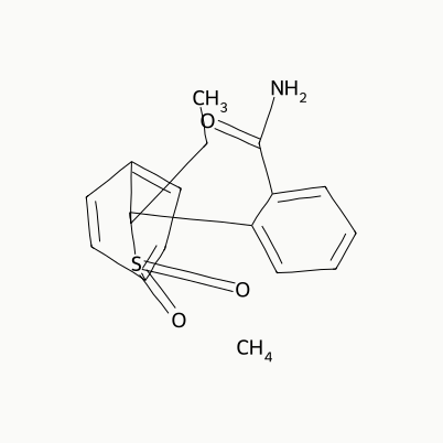 C.CCC1c2ccc(cc2)S(=O)(=O)C1c1ccccc1C(N)=O